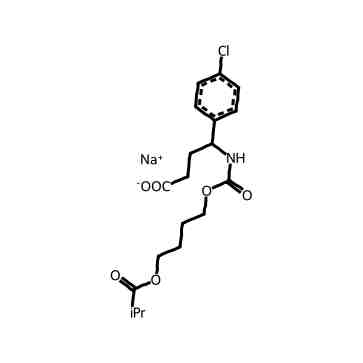 CC(C)C(=O)OCCCCOC(=O)NC(CCC(=O)[O-])c1ccc(Cl)cc1.[Na+]